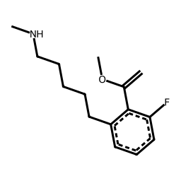 C=C(OC)c1c(F)cccc1CCCCCNC